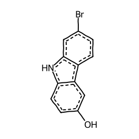 Oc1ccc2[nH]c3cc(Br)ccc3c2c1